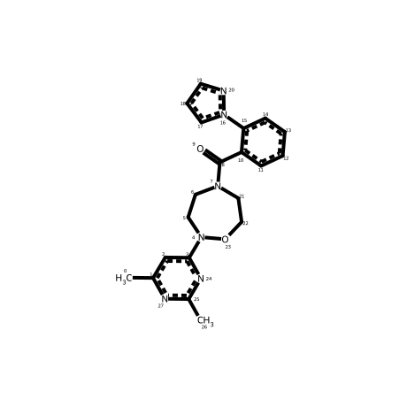 Cc1cc(N2CCN(C(=O)c3ccccc3-n3cccn3)CCO2)nc(C)n1